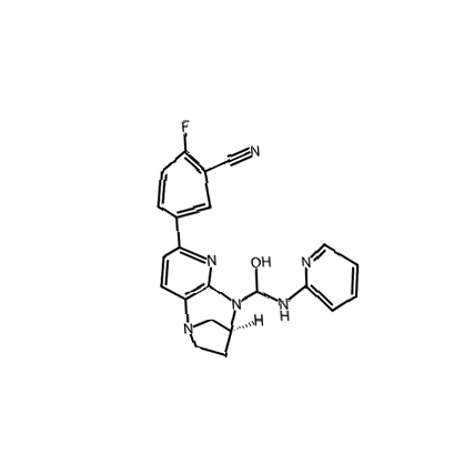 N#Cc1cc(-c2ccc3c(n2)N(C(O)Nc2ccccn2)[C@H]2CCN3C2)ccc1F